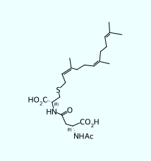 CC(=O)N[C@H](CC(=O)N[C@@H](CSCC=C(C)CCC=C(C)CCC=C(C)C)C(=O)O)C(=O)O